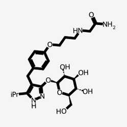 CC(C)c1[nH]nc(O[C@@H]2O[C@H](CO)[C@@H](O)[C@H](O)[C@H]2O)c1Cc1ccc(OCCCNCC(N)=O)cc1